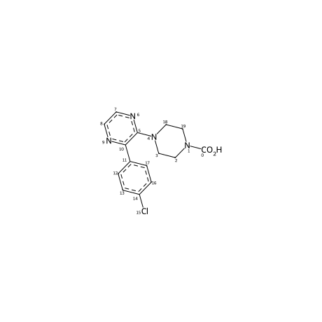 O=C(O)N1CCN(c2nccnc2-c2ccc(Cl)cc2)CC1